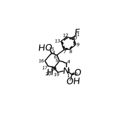 O=C(O)N1CC2C(c3ccc(F)cc3)C(O)CC[C@@H]2C1